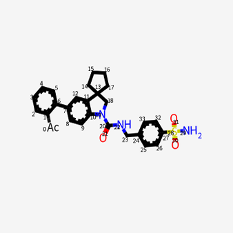 CC(=O)c1ccccc1-c1ccc2c(c1)C1(CCCC1)CN2C(=O)NCc1ccc(S(N)(=O)=O)cc1